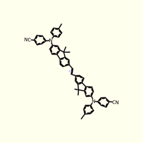 Cc1ccc(N(c2ccc(C#N)cc2)c2ccc3c(c2)C(C)(C)c2cc(/C=C/c4ccc5c(c4)C(C)(C)c4cc(N(c6ccc(C)cc6)c6ccc(C#N)cc6)ccc4-5)ccc2-3)cc1